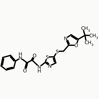 CC(C)(C)c1cnc(CSc2cnc(NC(=O)C(=O)Nc3ccccc3)s2)o1